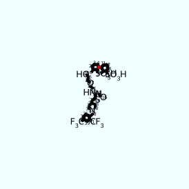 Cc1ccccc1S(=O)(=O)O.Cc1ccccc1S(=O)(=O)O.O=C1N=C(NCCOCCO)C(=CC2CCN(Cc3ccc(C(F)(F)F)cc3C(F)(F)F)CC2)S1